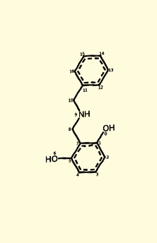 Oc1cccc(O)c1CNCc1ccccc1